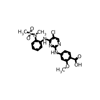 COc1cc(Nc2ncc(Cl)c(Nc3ccccc3N(C)S(C)(=O)=O)n2)ccc1C(=O)O